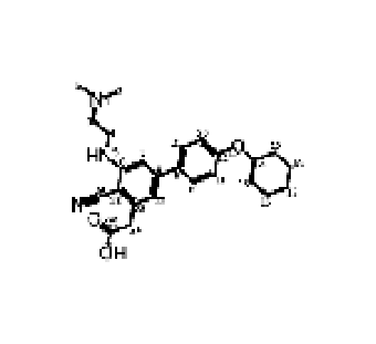 CN(C)CCNc1cc(-c2ccc(OC3CCCCC3)cc2)cc(CC(=O)O)c1C#N